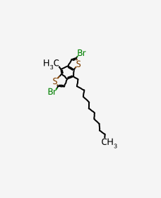 CCCCCCCCCCCCc1c2cc(Br)sc2c(C)c2cc(Br)sc12